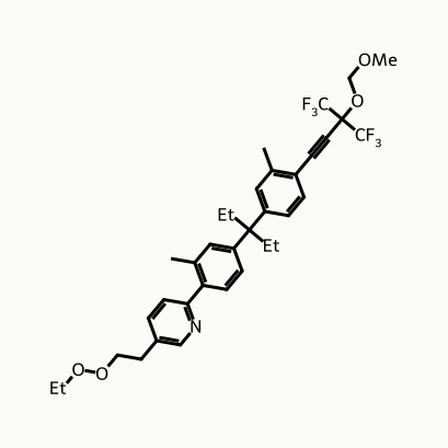 CCOOCCc1ccc(-c2ccc(C(CC)(CC)c3ccc(C#CC(OCOC)(C(F)(F)F)C(F)(F)F)c(C)c3)cc2C)nc1